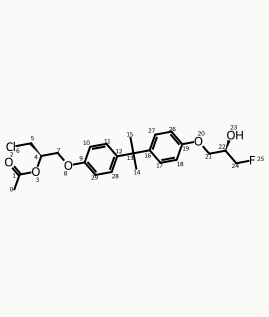 CC(=O)O[C@@H](CCl)COc1ccc(C(C)(C)c2ccc(OC[C@@H](O)CF)cc2)cc1